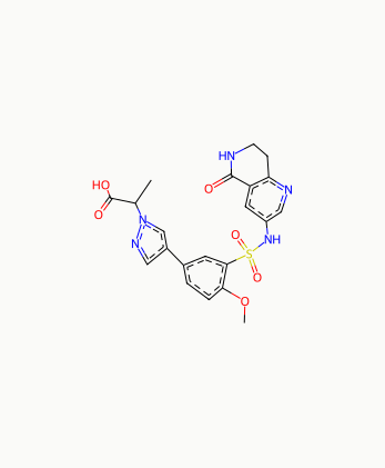 COc1ccc(-c2cnn(C(C)C(=O)O)c2)cc1S(=O)(=O)Nc1cnc2c(c1)C(=O)NCC2